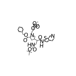 CC(C)(C)OC(=O)NCC(C(=O)Nc1cc2ccncc2s1)C1CC(C(=O)OCc2ccccc2)N(CCO[N+](=O)[O-])C1